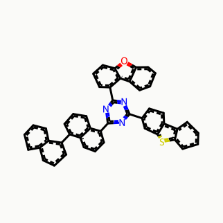 c1ccc2c(-c3cccc4c(-c5nc(-c6ccc7c(c6)sc6ccccc67)nc(-c6cccc7oc8ccccc8c67)n5)cccc34)cccc2c1